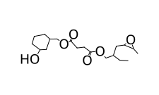 CCC(COC(=O)CCC(=O)OCC1CCCC(O)C1)CC1OC1C